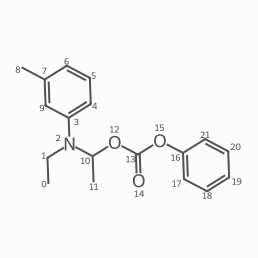 CCN(c1cccc(C)c1)C(C)OC(=O)Oc1ccccc1